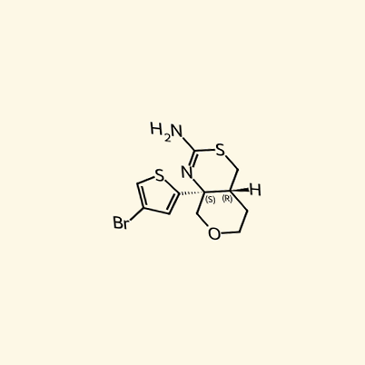 NC1=N[C@]2(c3cc(Br)cs3)COCC[C@H]2CS1